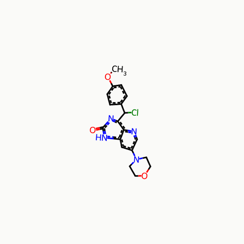 COc1ccc(C(Cl)c2nc(=O)[nH]c3cc(N4CCOCC4)cnc23)cc1